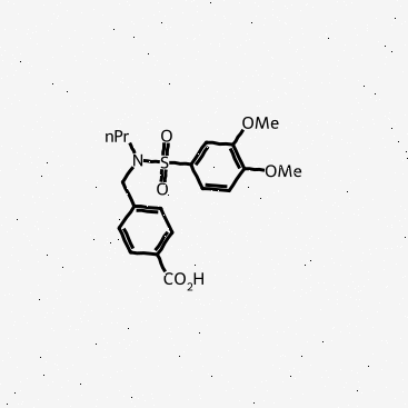 CCCN(Cc1ccc(C(=O)O)cc1)S(=O)(=O)c1ccc(OC)c(OC)c1